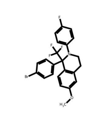 COc1ccc2c(c1)CCN(c1ccc(F)cc1)C2(c1ccc(Br)cc1)C(F)(F)F